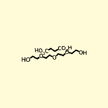 O=C(O)CCC(=O)O.OCCOCCOCCOCCO